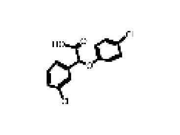 O=C(O)C(Oc1ccc(Cl)cc1)c1cccc(Cl)c1